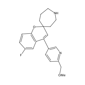 COCc1ccc(C2=CC3(CCCNCC3)Oc3ccc(F)cc32)cn1